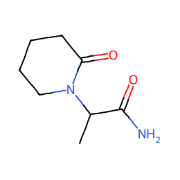 CC(C(N)=O)N1CCCCC1=O